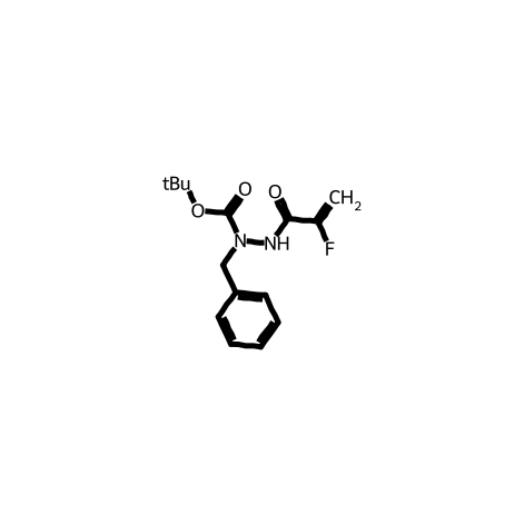 C=C(F)C(=O)NN(Cc1ccccc1)C(=O)OC(C)(C)C